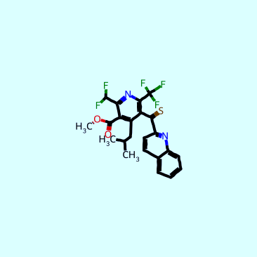 COC(=O)c1c(C(F)F)nc(C(F)(F)F)c(C(=S)c2ccc3ccccc3n2)c1CC(C)C